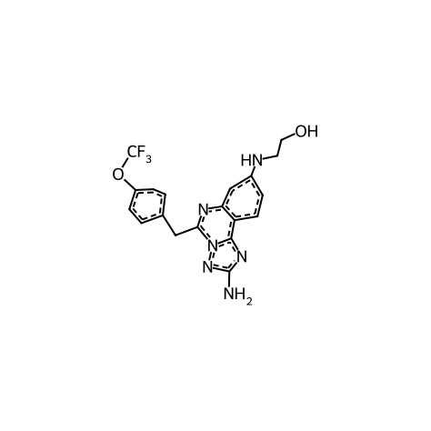 Nc1nc2c3ccc(NCCO)cc3nc(Cc3ccc(OC(F)(F)F)cc3)n2n1